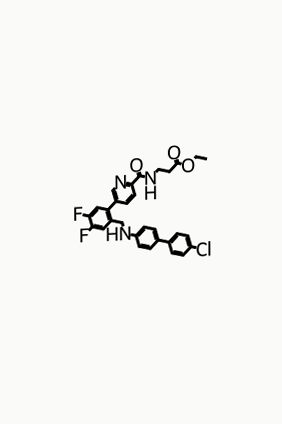 CCOC(=O)CCNC(=O)c1ccc(-c2cc(F)c(F)cc2CNc2ccc(-c3ccc(Cl)cc3)cc2)cn1